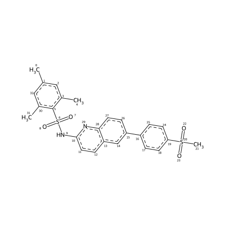 Cc1cc(C)c(S(=O)(=O)Nc2ccc3cc(-c4ccc(S(C)(=O)=O)cc4)ccc3n2)c(C)c1